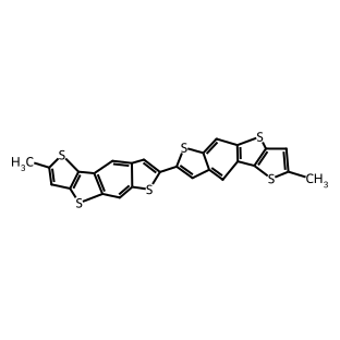 Cc1cc2sc3cc4sc(-c5cc6cc7c(cc6s5)sc5cc(C)sc57)cc4cc3c2s1